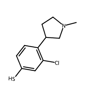 CN1CCC(c2ccc(S)cc2Cl)C1